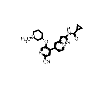 CN1CCC[C@H](Oc2cnc(C#N)cc2-c2ccn3nc(NC(=O)C4CC4)cc3c2)C1